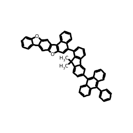 CC1(C)c2ccc(-c3c4ccccc4c(-c4ccccc4)c4ccccc34)cc2-c2cccc(-c3cc4oc5cc6c(cc5c4c4ccccc34)oc3ccccc36)c21